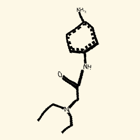 CCN(CC)CC(=O)Nc1ccc(N)cc1